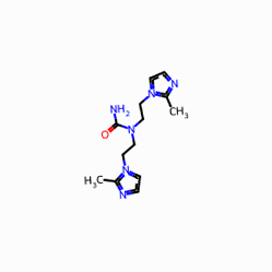 Cc1nccn1CCN(CCn1ccnc1C)C(N)=O